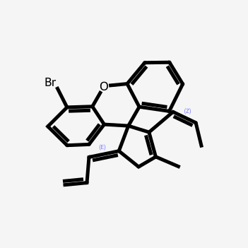 C=C/C=C1\CC(C)=C(/C=C\C)C12c1ccccc1Oc1c(Br)cccc12